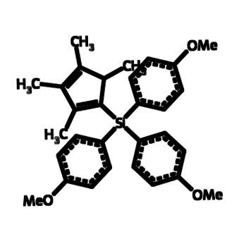 COc1ccc([Si](C2=C(C)C(C)=C(C)C2C)(c2ccc(OC)cc2)c2ccc(OC)cc2)cc1